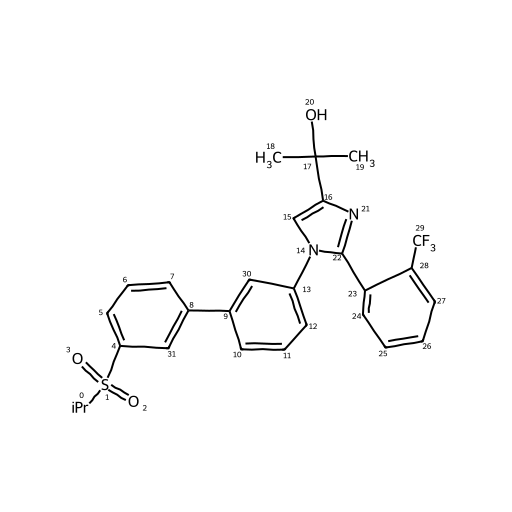 CC(C)S(=O)(=O)c1cccc(-c2cccc(-n3cc(C(C)(C)O)nc3-c3ccccc3C(F)(F)F)c2)c1